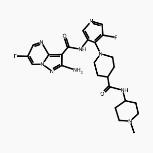 CN1CCC(NC(=O)C2CCN(c3c(F)cncc3NC(=O)c3c(N)nn4cc(F)cnc34)CC2)CC1